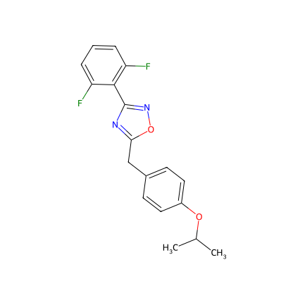 CC(C)Oc1ccc(Cc2nc(-c3c(F)cccc3F)no2)cc1